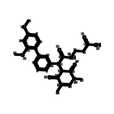 COc1ccc(-c2cccc(N(C(=O)NCCC(=O)O)C3C(=O)C(C)=CN(C)C3=O)c2)c(OC)c1